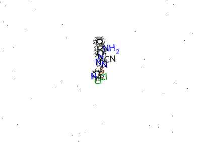 N#Cc1nc(Sc2ccnc(Cl)c2Cl)cnc1N1CCC2(CC1)Cc1ccccc1[C@H]2N